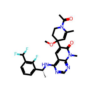 COC1(c2cc3c(N[C@H](C)c4cccc(C(F)F)c4F)ncnc3n(C)c2=O)C=C(C)N(C(C)=O)CC1